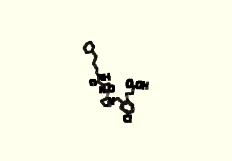 O=C(O)CCc1ccc(Cl)cc1CN1CCCC1c1nc(C(=O)NCCCCC2CCCCC2)co1